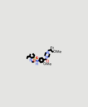 C=C/C(=C(/N=C\C)C(\C)=C/C)S(=O)(=O)Nc1ccc(C(=O)N2CCN(CC(CC)COC)CC2)c(OC)c1